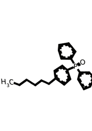 CCCCCCc1ccc(P(=O)(c2ccccc2)c2ccccc2)cc1